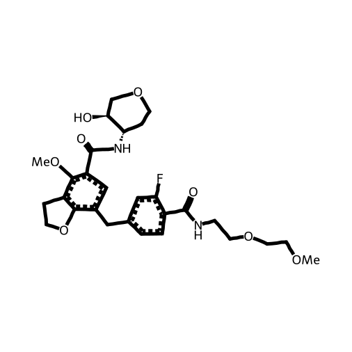 COCCOCCNC(=O)c1ccc(Cc2cc(C(=O)N[C@H]3CCOC[C@@H]3O)c(OC)c3c2OCC3)cc1F